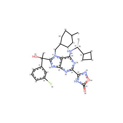 CC1CCC(Cn2c(C(C)(O)c3cccc(F)c3)nc3nc(-c4noc(=O)[nH]4)nc(N[C@H](C)C4CCC4)c32)CC1